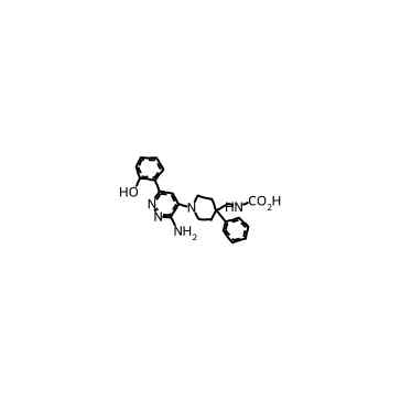 Nc1nnc(-c2ccccc2O)cc1N1CCC(CNC(=O)O)(c2ccccc2)CC1